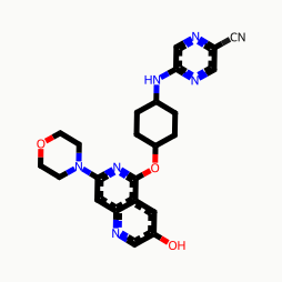 N#Cc1cnc(NC2CCC(Oc3nc(N4CCOCC4)cc4ncc(O)cc34)CC2)cn1